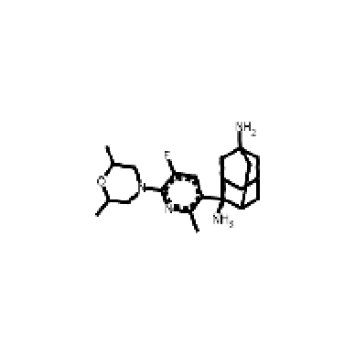 Cc1nc(N2CC(C)OC(C)C2)c(F)cc1C1(N)C2CC3CC1CC(N)(C3)C2